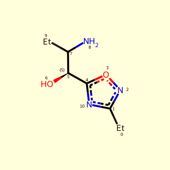 CCc1noc([C@@H](O)C(N)CC)n1